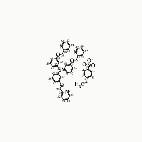 CCc1ccc(S(=O)(=O)[O-])cc1.c1ccc(COc2cccc([S+](c3cccc(OCc4ccccn4)c3)c3cccc(OCc4ccccn4)c3)c2)nc1